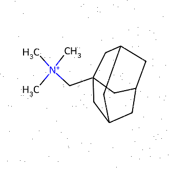 C[N+](C)(C)CC12CC3CC(CC(C3)C1)C2